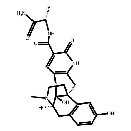 C[C@H](NC(=O)c1cc2c([nH]c1=O)C[C@]13CCN(C)[C@H](Cc4ccc(O)cc41)[C@]3(O)C2)C(N)=O